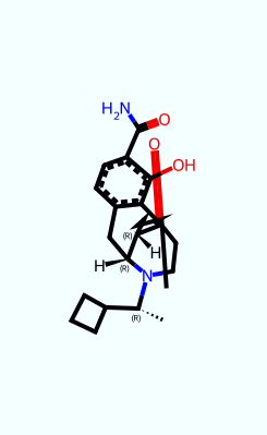 C[C@H](C1CCC1)N1CCC23CC(=O)CC[C@H]2[C@H]1Cc1ccc(C(N)=O)c(O)c13